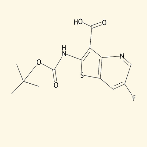 CC(C)(C)OC(=O)Nc1sc2cc(F)cnc2c1C(=O)O